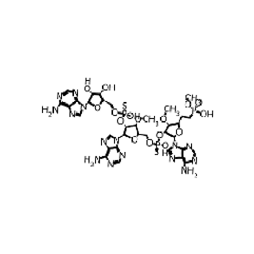 CO[C@H]1[C@@H](O[P@@](O)(=S)OC[C@H]2O[C@@H](n3cnc4c(N)ncnc43)[C@H](O[P@@](O)(=S)OC[C@H]3O[C@@H](n4cnc5c(N)ncnc54)[C@H](O)[C@@H]3O)[C@@H]2OC)[C@H](n2cnc3c(N)ncnc32)O[C@@H]1CCP(=O)(O)OC